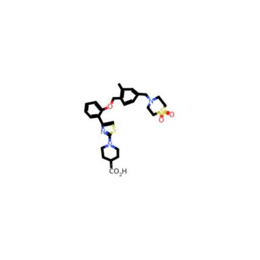 Cc1cc(CN2CCS(=O)(=O)CC2)ccc1COc1ccccc1-c1csc(N2CCC(C(=O)O)CC2)n1